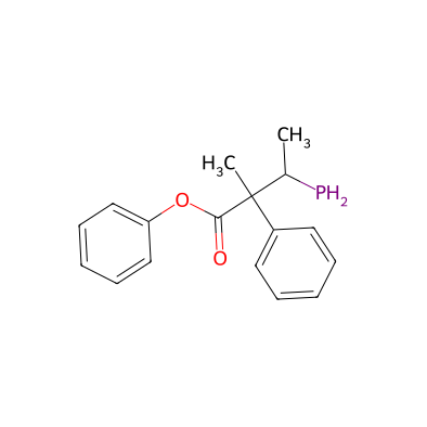 CC(P)C(C)(C(=O)Oc1ccccc1)c1ccccc1